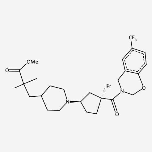 COC(=O)C(C)(C)CC1CCN([C@@H]2CC[C@@](C(=O)N3COc4ccc(C(F)(F)F)cc4C3)(C(C)C)C2)CC1